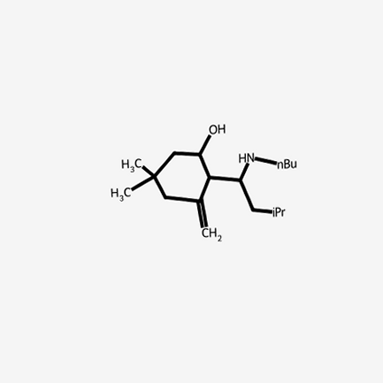 C=C1CC(C)(C)CC(O)C1C(CC(C)C)NCCCC